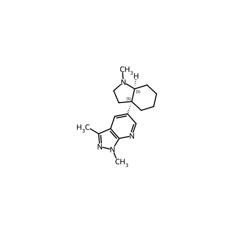 Cc1nn(C)c2ncc([C@@]34CCCC[C@@H]3N(C)CC4)cc12